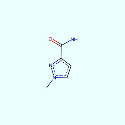 Cn1ccc(C([NH])=O)n1